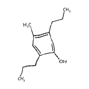 CCCc1cc(O)c(CCC)cc1C